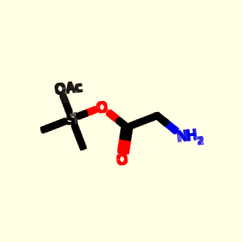 CC(=O)O[Si](C)(C)OC(=O)CN